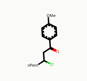 CCCCCC(Cl)CC(=O)c1ccc(OC)cc1